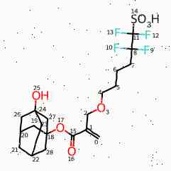 C=C(COCCCCC(F)(F)C(F)(F)S(=O)(=O)O)C(=O)OC12CC3CC(CC(O)(C3)C1)C2